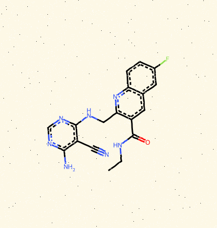 CCNC(=O)c1cc2cc(F)ccc2nc1CNc1ncnc(N)c1C#N